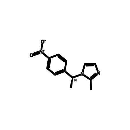 Cc1nccn1[C@@H](C)c1ccc([N+](=O)[O-])cc1